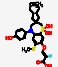 CCCCC1(CCCC)CN(c2ccc(O)cc2)c2cc(SC)c(OC=C(F)C(=O)O)cc2S(O)(O)C1